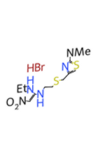 Br.CCNC(=C[N+](=O)[O-])NCCSCc1csc(NC)n1